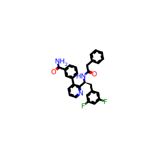 NC(=O)c1cccc(-c2cccnc2[C@H](Cc2cc(F)cc(F)c2)NC(=O)Cc2ccccc2)c1